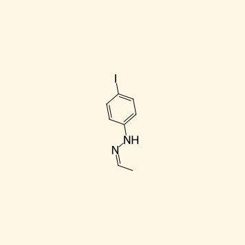 C/C=N\Nc1ccc(I)cc1